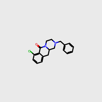 O=C1c2c(Cl)cccc2CC2CN(Cc3ccccc3)CCN12